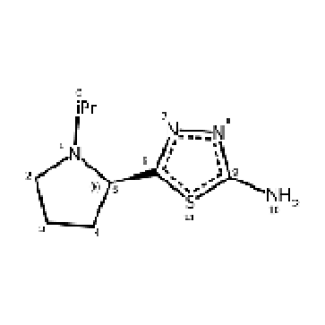 CC(C)N1CCC[C@@H]1c1nnc(N)s1